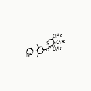 CC(=O)O[C@@H]1[C@@H](OC(C)=O)[C@@H](Oc2cc(C)c(-c3cccnc3)c(C)c2)SC[C@H]1OC(C)=O